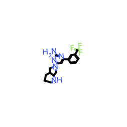 Nc1nc(-c2cccc(C(F)(F)F)c2)cc(N2CC3CCCNC3C2)n1